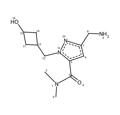 CN(C)C(=O)c1cc(CN)nn1CC1CC(O)C1